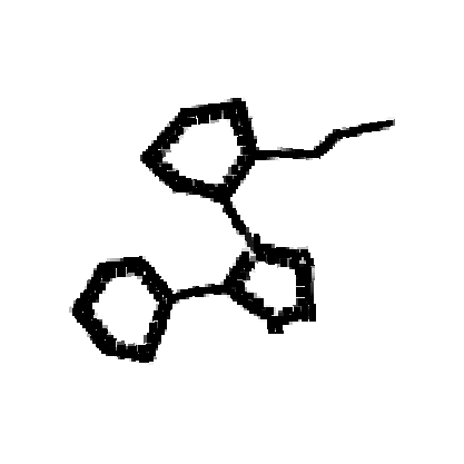 CCCc1ccccc1-n1nnnc1-c1ccccc1